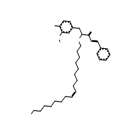 CCCCCCCC/C=C\CCCCCCCCNC(Cc1ccc(O)c(OC)c1)C(=O)C=Cc1ccccc1